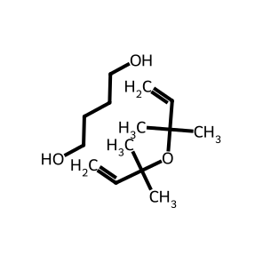 C=CC(C)(C)OC(C)(C)C=C.OCCCCO